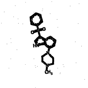 CN1CCN(c2cccc3c(S(=O)(=O)c4ccccc4)c[nH]c23)CC1